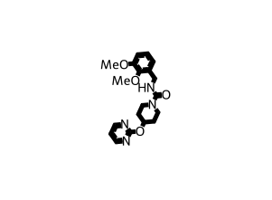 COc1cccc(CNC(=O)N2CCC(Oc3ncccn3)CC2)c1OC